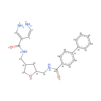 N/C=C\C(=C/N)C(=O)NCC1COC(CNC(=O)c2ccc(-c3ccccc3)cc2)C1